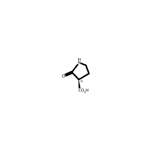 O=C(O)[C@@H]1CCNC1=O